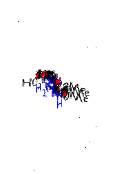 COc1cc(Nc2nc(N)c(-c3nc(-c4cccc(OCc5ccccc5)c4NC(=O)O)no3)s2)cc(OC)c1OC